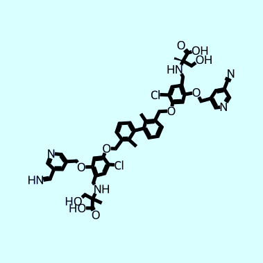 Cc1c(COc2cc(OCc3cncc(C=N)c3)c(CNC(C)(CO)C(=O)O)cc2Cl)cccc1-c1cccc(COc2cc(OCc3cncc(C#N)c3)c(CN[C@@](C)(CO)C(=O)O)cc2Cl)c1C